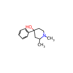 CC1CC(O)(c2ccccc2)CCN1C